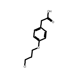 O=C(O)Cc1ccc(OCCCCl)cc1